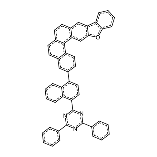 c1ccc(-c2nc(-c3ccccc3)nc(-c3ccc(-c4ccc5c(ccc6ccc7cc8c(cc7c65)oc5ccccc58)c4)c4ccccc34)n2)cc1